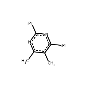 Cc1nc(C(C)C)nc(C(C)C)c1C